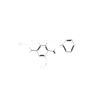 CCCCOc1cc(C(C)OC)c(O)c(C)c1C(=O)Oc1ccccc1